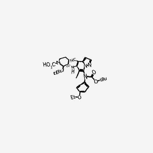 CCOc1ccc(N(C(=O)OC(C)(C)C)c2c(C)c(N[C@H]3CCCN(C(=O)O)C3C(C)(C)C)c(C#N)c3ccnn23)cc1